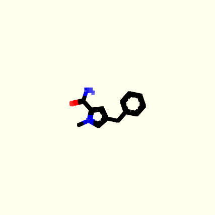 Cn1cc(Cc2ccccc2)cc1C(N)=O